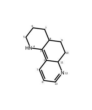 C1=CC2=C3NCCCC3CCC2N=C1